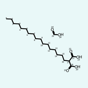 CCCCCCCCCCCCCCCCCC(C(=O)O)C(=O)O.O=CO